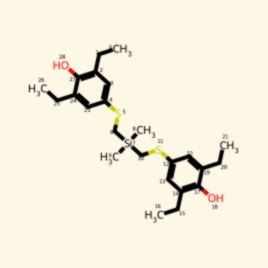 CCc1cc(SC[Si](C)(C)CSc2cc(CC)c(O)c(CC)c2)cc(CC)c1O